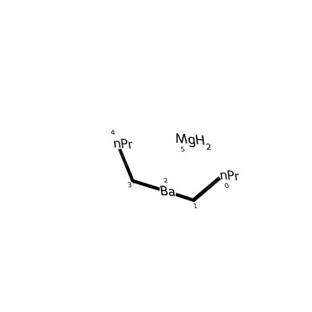 CCC[CH2][Ba][CH2]CCC.[MgH2]